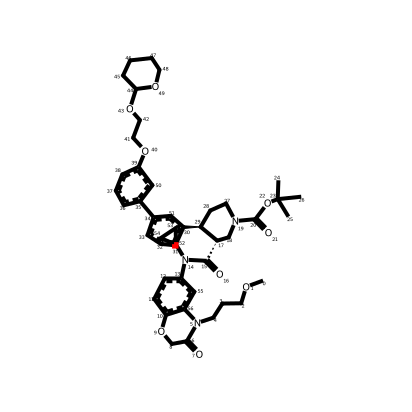 COCCCN1C(=O)COc2ccc(N(C(=O)[C@H]3CN(C(=O)OC(C)(C)C)CC[C@@H]3c3cccc(-c4cccc(OCCOC5CCCCO5)c4)c3)C3CC3)cc21